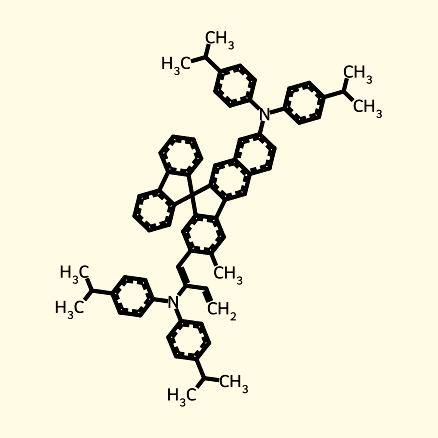 C=C/C(=C\c1cc2c(cc1C)-c1cc3ccc(N(c4ccc(C(C)C)cc4)c4ccc(C(C)C)cc4)cc3cc1C21c2ccccc2-c2ccccc21)N(c1ccc(C(C)C)cc1)c1ccc(C(C)C)cc1